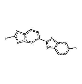 Ic1ccc2sc(-c3ccc4sc(I)nc4c3)nc2c1